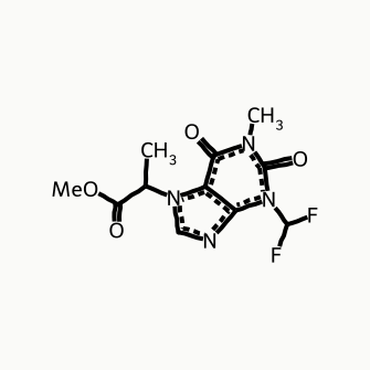 COC(=O)C(C)n1cnc2c1c(=O)n(C)c(=O)n2C(F)F